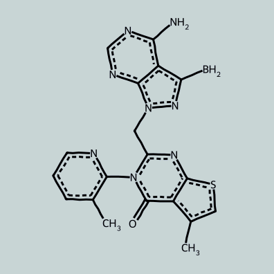 Bc1nn(Cc2nc3scc(C)c3c(=O)n2-c2ncccc2C)c2ncnc(N)c12